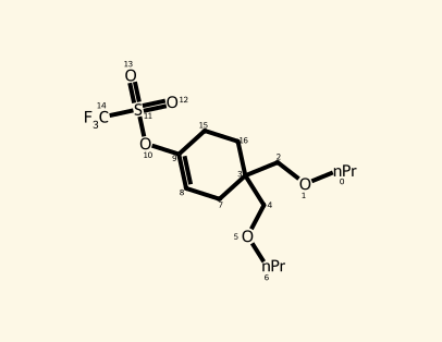 CCCOCC1(COCCC)CC=C(OS(=O)(=O)C(F)(F)F)CC1